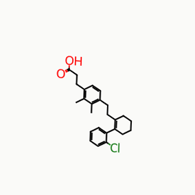 Cc1c(CCC(=O)O)ccc(CCC2=C(c3ccccc3Cl)CCCC2)c1C